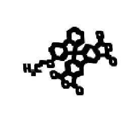 CCOc1ccc2c(c1)C1(c3ccccc3-2)c2cc3c(cc2-c2cc4c(cc21)C(=O)OC4=O)C(=O)OC3=O